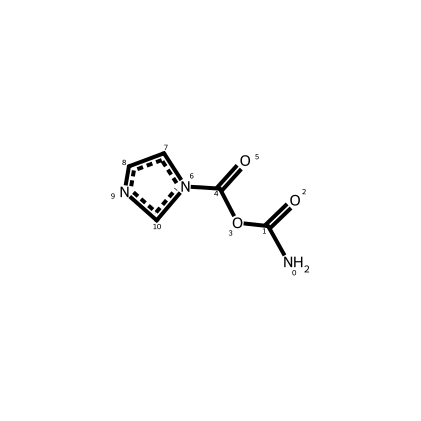 NC(=O)OC(=O)n1ccnc1